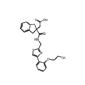 O=C(O)CC1(C(=O)NCc2nc(-c3ccccc3OCCO)cs2)Cc2ccccc2C1